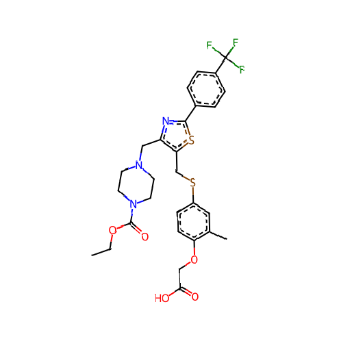 CCOC(=O)N1CCN(Cc2nc(-c3ccc(C(F)(F)F)cc3)sc2CSc2ccc(OCC(=O)O)c(C)c2)CC1